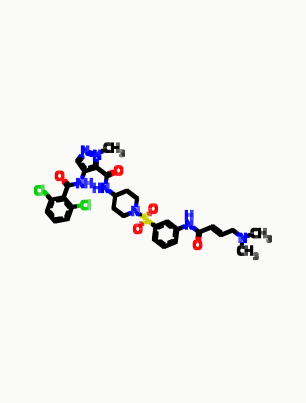 CN(C)C/C=C/C(=O)Nc1cccc(S(=O)(=O)N2CCC(NC(=O)c3c(NC(=O)c4c(Cl)cccc4Cl)cnn3C)CC2)c1